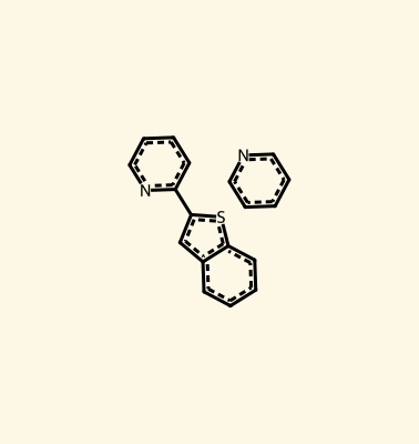 c1ccc(-c2cc3ccccc3s2)nc1.c1ccncc1